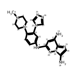 CN1CCN(c2ccc(Nc3cc(N)c4ncc(N)n4n3)cc2-n2cnnc2)CC1